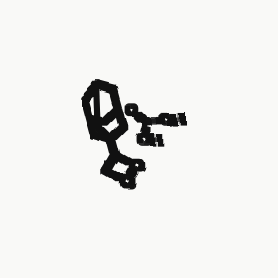 C1C2CC3CC1CC(C1COO1)(C2)C3.O=[P+](O)O